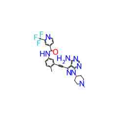 Cc1ccc(NC(=O)c2ccnc(C(F)(F)F)c2)cc1C#Cc1nn(C2CCN(C)CC2)c2ncnc(N)c12